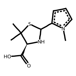 Cn1cccc1C1N[C@@H](C(=O)O)C(C)(C)S1